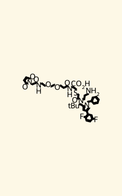 CC(C)(C)C(c1cc(-c2cc(F)ccc2F)cn1Cc1ccccc1)N(CCCN)C(=O)CSC[C@H](NC(=O)CCOCCOCCNC(=O)CN1C(=O)C=CC1=O)C(=O)O